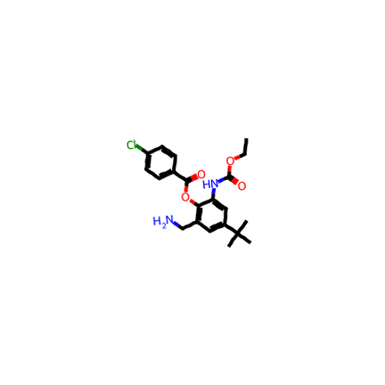 CCOC(=O)Nc1cc(C(C)(C)C)cc(CN)c1OC(=O)c1ccc(Cl)cc1